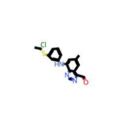 Cc1cc(Nc2cccc(SC(C)Cl)c2)c2ncnc(C=O)c2c1